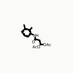 CC(=O)OC(CC(=O)Nc1cccc(C)c1C)OC(C)=O